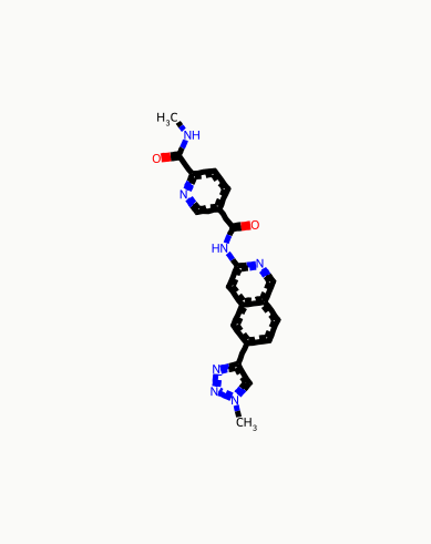 CNC(=O)c1ccc(C(=O)Nc2cc3cc(-c4cn(C)nn4)ccc3cn2)cn1